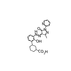 CC1=NN(c2ccccn2)C(=O)C1=NNc1cccc(C2CCCC(C(=O)O)C2)c1O